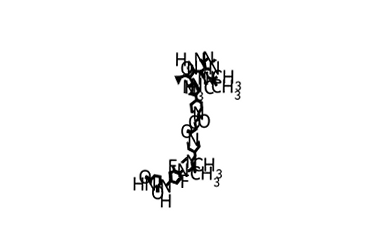 CC1(C)CN(c2c(F)cc(NC3CCC(=O)NC3=O)cc2F)CCN1CC1CCN(C(=O)COC(=O)N2CCC(c3cnc(-c4c(-c5nn(C(C)(C)C)c6ncnc(N)c56)noc4C4CC4)nc3)CC2)CC1